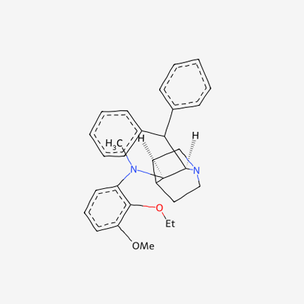 CCOc1c(OC)cccc1N(C)[C@@H]1C2CCN(CC2)[C@@H]1C(c1ccccc1)c1ccccc1